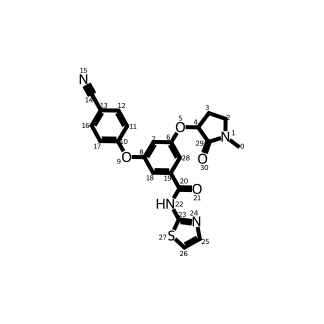 CN1CCC(Oc2cc(Oc3ccc(C#N)cc3)cc(C(=O)Nc3nccs3)c2)C1=O